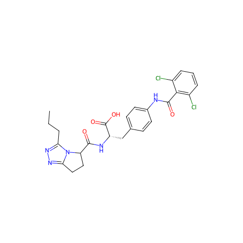 CCCc1nnc2n1C(C(=O)N[C@@H](Cc1ccc(NC(=O)c3c(Cl)cccc3Cl)cc1)C(=O)O)CC2